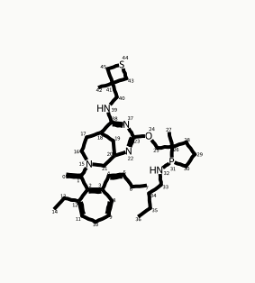 C=C(C1=C(/C=C\CC)C=CCC=C1CC)N1CCC2CC(C1)N=C(OCC1(C)CCCP1NCCCC)N=C2NCC1(C)CSC1